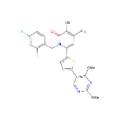 COc1ncc(-c2ccc(-c3cc(C(F)(F)F)c(C#N)c(=O)n3Cc3ccc(F)cc3F)s2)c(OC)n1